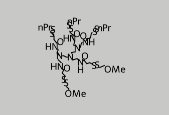 CCCSSCCC(=O)NCCN(CCNC(=O)CCSSCCOC)CCN(CCNC(=O)CCSSCCOC)CCN(CCNC(=O)CCSSCCC)CCNC(=O)CSSCCC